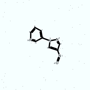 O=Nc1cnn(-c2cccnc2)c1